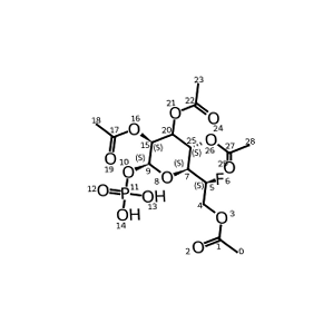 CC(=O)OC[C@H](F)[C@H]1O[C@@H](OP(=O)(O)O)[C@@H](OC(C)=O)C(OC(C)=O)[C@@H]1OC(C)=O